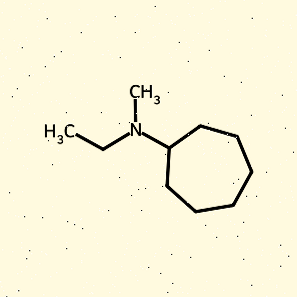 CCN(C)C1CCCCCC1